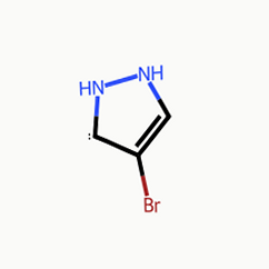 BrC1=CNN[C]1